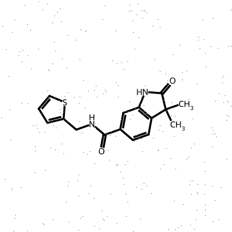 CC1(C)C(=O)Nc2cc(C(=O)NCc3cccs3)ccc21